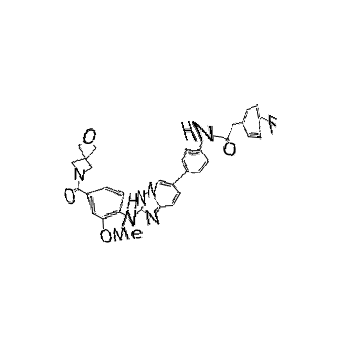 COc1cc(C(=O)N2CC3(COC3)C2)ccc1Nc1nc2ccc(-c3ccc(NC(=O)Cc4ccc(F)cc4)cc3)cn2n1